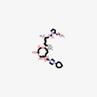 COC[C@@H]1CCCN1C(=O)OC[C@H](C)/C=C/C=C(\C)[C@H]1OC(=O)C[C@H](O)CC[C@@](C)(O)[C@@H](OC(=O)N2CCN(C3CCCCCC3)CC2)/C=C/[C@@H]1C